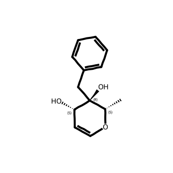 C[C@@H]1OC=C[C@H](O)[C@]1(O)Cc1ccccc1